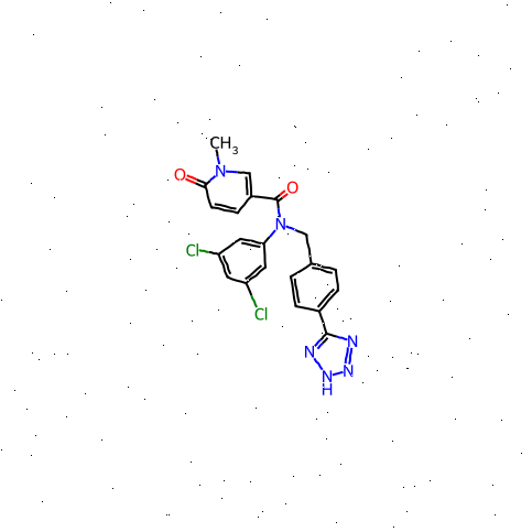 Cn1cc(C(=O)N(Cc2ccc(-c3nn[nH]n3)cc2)c2cc(Cl)cc(Cl)c2)ccc1=O